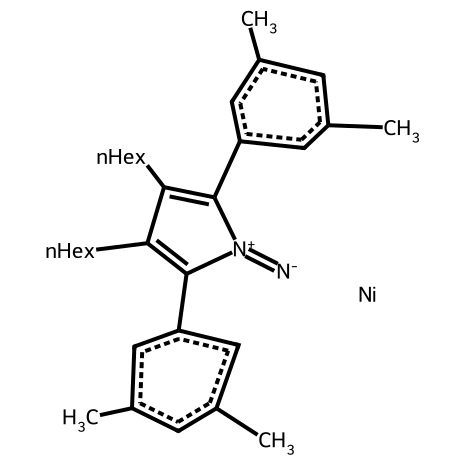 CCCCCCC1=C(c2cc(C)cc(C)c2)[N+](=[N-])C(c2cc(C)cc(C)c2)=C1CCCCCC.[Ni]